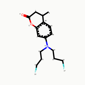 CC1CC(=O)Oc2cc(N(CCCF)CCCF)ccc21